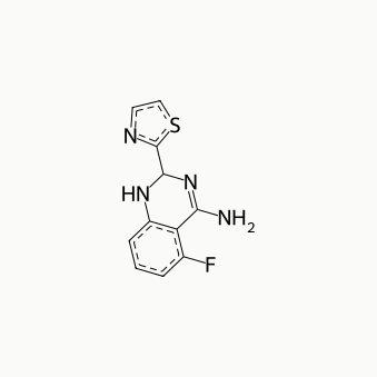 NC1=NC(c2nccs2)Nc2cccc(F)c21